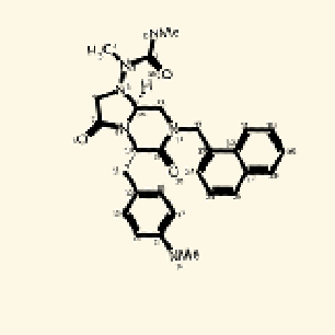 CNC(=O)N(C)N1CC(=O)N2[C@@H](Cc3ccc(NC)cc3)C(=O)N(Cc3cccc4ccccc34)C[C@@H]21